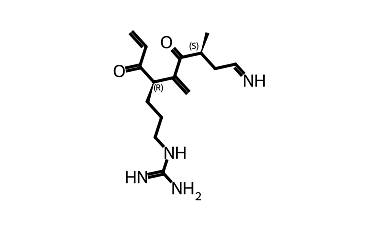 C=CC(=O)[C@H](CCCNC(=N)N)C(=C)C(=O)[C@@H](C)CC=N